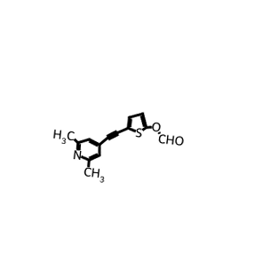 Cc1cc(C#Cc2ccc(OC=O)s2)cc(C)n1